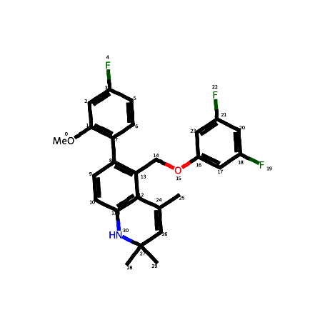 COc1cc(F)ccc1-c1ccc2c(c1COc1cc(F)cc(F)c1)C(C)=CC(C)(C)N2